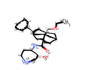 CCOC[C@]12CC3CC1(C(=O)N[C@@H]1CCNC[C@H]1O)C[C@]3(c1ccccc1)C2